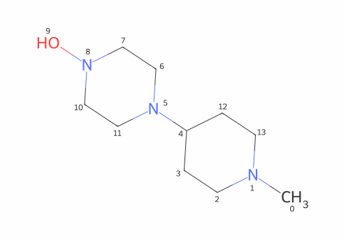 CN1CCC(N2CCN(O)CC2)CC1